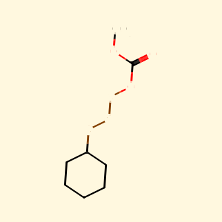 O=C(O)OC(=O)OSSSC1CCCCC1